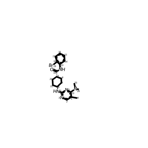 Cc1cnc(N[C@H]2CC[C@@H](C(=O)Nc3ccccc3Br)CC2)nc1N(C)C